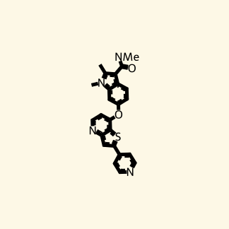 CNC(=O)c1c(C)n(C)c2cc(Oc3ccnc4cc(-c5ccncc5)sc34)ccc12